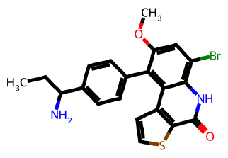 CCC(N)c1ccc(-c2c(OC)cc(Br)c3[nH]c(=O)c4sccc4c23)cc1